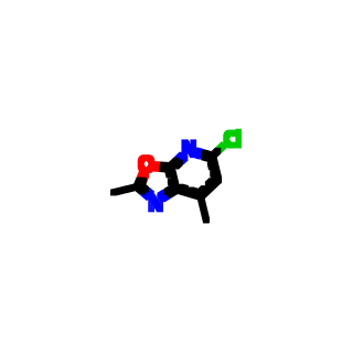 Cc1nc2c(C)cc(Cl)nc2o1